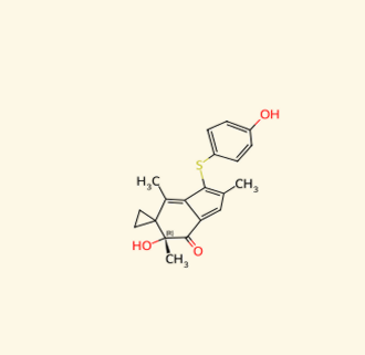 CC1=C(Sc2ccc(O)cc2)C2=C(C)C3(CC3)[C@@](C)(O)C(=O)C2=C1